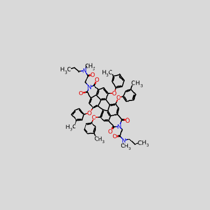 CCCN(C)C(=O)CN1C(=O)c2cc(Oc3cccc(C)c3)c3c4c(Oc5cccc(C)c5)cc5c6c(cc(Oc7cccc(C)c7)c(c7c(Oc8cccc(C)c8)cc(c2c37)C1=O)c64)C(=O)N(CC(=O)N(C)CCC)C5=O